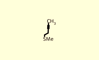 CC#CCCSC